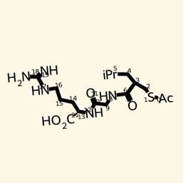 CC(=O)SCC(CC(C)C)C(=O)NCC(=O)N[C@@H](CCCNC(=N)N)C(=O)O